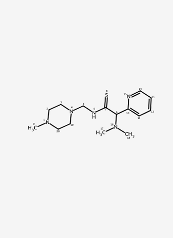 CN1CCN(CNC(=S)C(c2ccccn2)N(C)C)CC1